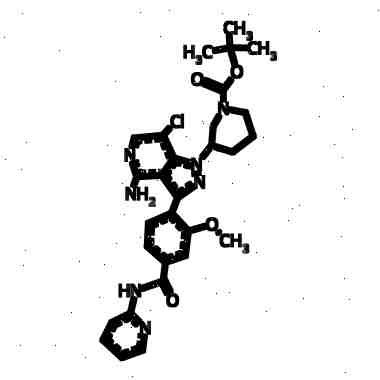 COc1cc(C(=O)Nc2ccccn2)ccc1-c1nn(C2CCCN(C(=O)OC(C)(C)C)C2)c2c(Cl)cnc(N)c12